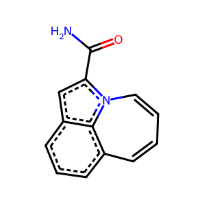 NC(=O)c1cc2cccc3c2n1C=CC=C3